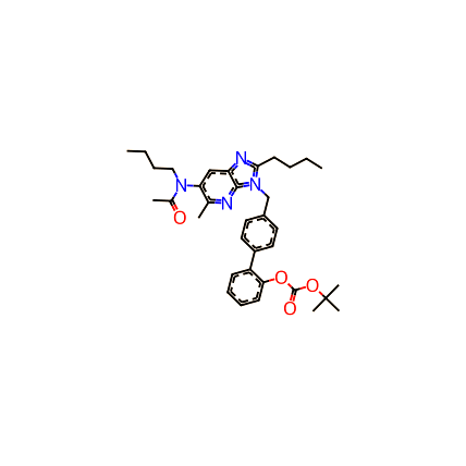 CCCCc1nc2cc(N(CCCC)C(C)=O)c(C)nc2n1Cc1ccc(-c2ccccc2OC(=O)OC(C)(C)C)cc1